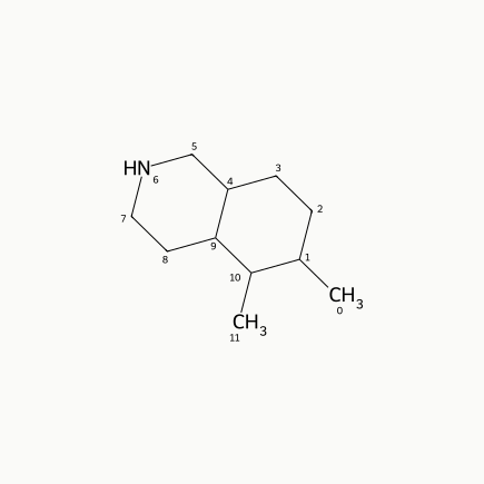 CC1CCC2CNCCC2C1C